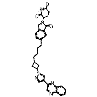 O=C1CCC(N2Cc3ccc(CCCCC4CC(n5cc(-c6cnc7ccccc7n6)cn5)C4)cc3C2=O)C(=O)N1